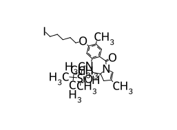 CC1=CN2C(=O)c3cc(C)c(OCCCCCI)cc3N(C)[C@@H](O[Si](C)(C)C(C)(C)C)[C@@H]2C1